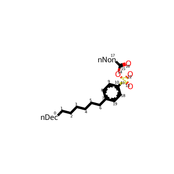 CCCCCCCCCCCCCCCCc1ccc(S(=O)(=O)OC(=O)CCCCCCCCC)cc1